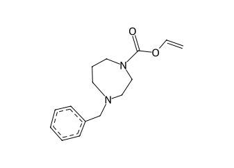 C=COC(=O)N1CCCN(Cc2ccccc2)CC1